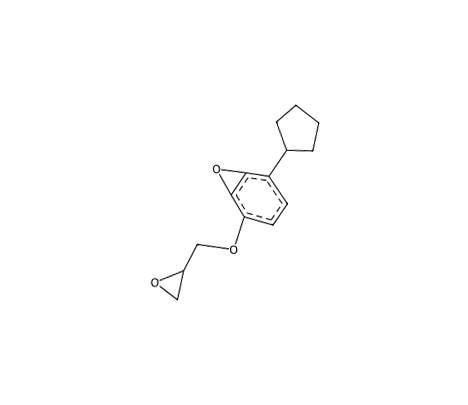 c1cc(C2CCCC2)c2c(c1OCC1CO1)O2